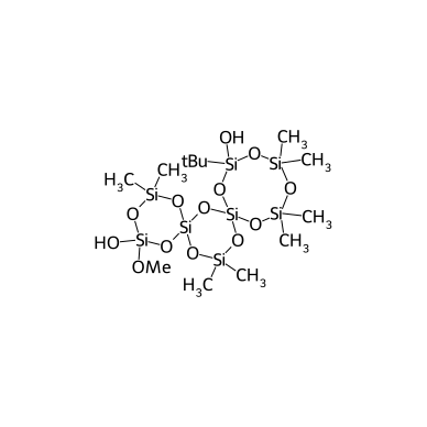 CO[Si]1(O)O[Si](C)(C)O[Si]2(O[Si](C)(C)O[Si]3(O[Si](C)(C)O[Si](C)(C)O[Si](O)(C(C)(C)C)O3)O2)O1